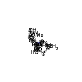 C=C1CC2CCC(=O)CC3OC4C(O)C5(/N=C6\COC(CC[C@@H]1O2)C[C@H]6C)OC(CC(=O)CC1[C@H](C)O[C@H](CC(O)CO)[C@@H]1OC)CCC5O[C@H]4C3O